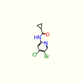 O=C(Nc1cc(Cl)c(Br)cn1)C1CC1